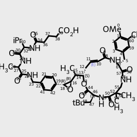 COc1ccc(C[C@H]2NC(=O)/C=C/C[C@@H]([C@H](C)[C@H]3O[C@@H]3c3ccc(CNC(=O)C(C)NC(=O)C(NC(=O)CCCC(=O)O)C(C)C)cc3)OC(=O)[C@H](CC(C)(C)C)NC(=O)C(C)(C)CNC2=O)cc1Cl